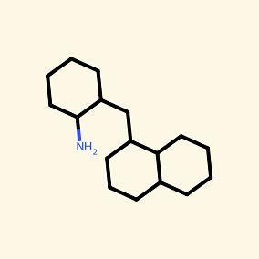 NC1CCCCC1CC1CCCC2CCCCC21